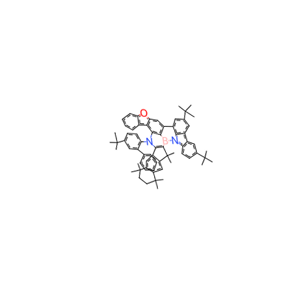 CC(C)(C)c1ccc(N2C3=C(B4c5c(cc6oc7ccccc7c6c52)-c2cc(C(C)(C)C)cc5c6cc(C(C)(C)C)ccc6n4c25)C(C)(C)c2cc4c(cc23)C(C)(C)CCC4(C)C)c(-c2ccccc2)c1